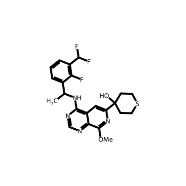 COc1nc(C2(O)CCSCC2)cc2c(NC(C)c3cccc(C(F)F)c3F)ncnc12